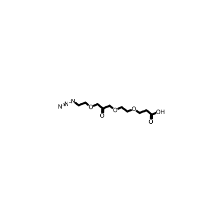 [N-]=[N+]=NCCOCC(=O)COCCOCCC(=O)O